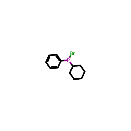 BrP(c1ccccc1)C1CCCCC1